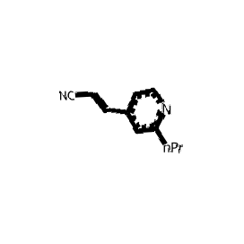 CCCc1cc(/C=C/C#N)ccn1